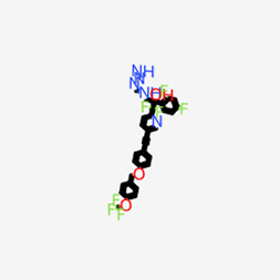 N=N/N=C\NCC(O)(c1ccc(F)cc1F)C(F)(F)c1ccc(C#Cc2ccc(OCc3ccc(OC(F)(F)F)cc3)cc2)cn1